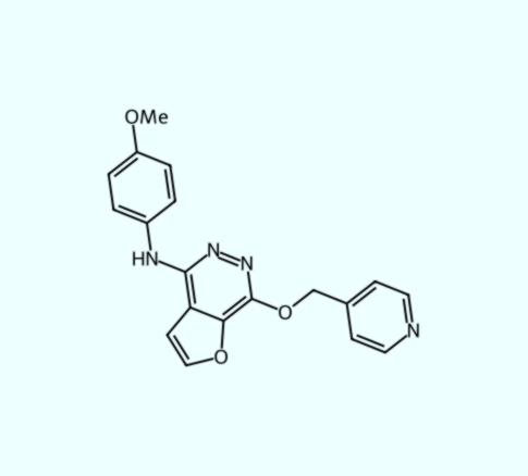 COc1ccc(Nc2nnc(OCc3ccncc3)c3occc23)cc1